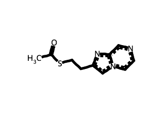 CC(=O)SCCc1cn2ccncc2n1